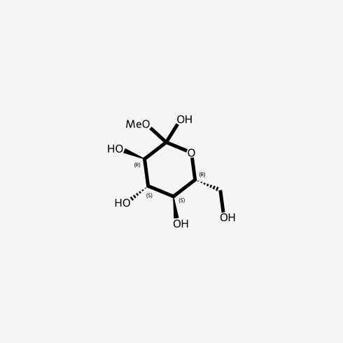 COC1(O)O[C@H](CO)[C@@H](O)[C@H](O)[C@H]1O